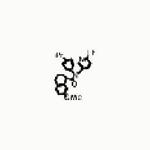 CCc1ccc(CN(C(=O)C2CCCc3ccc(OC)cc32)c2ccc(C(C)C)cc2)cn1